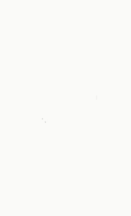 Fc1cccc(Cc2ccc3c(c2)NCC3)c1